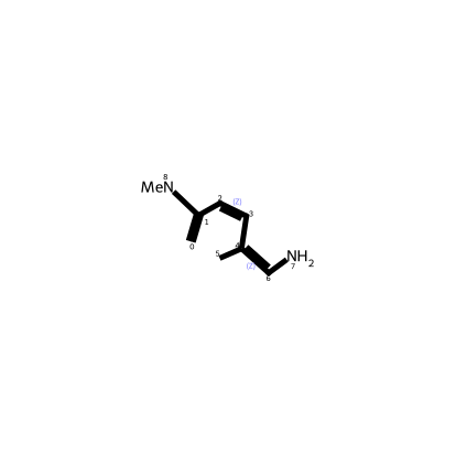 C=C(/C=C\C(C)=C/N)NC